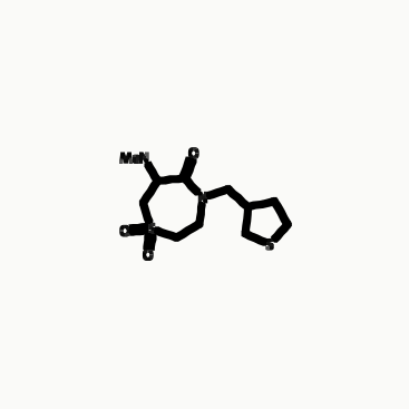 CNC1CS(=O)(=O)CCN(CC2CCSC2)C1=O